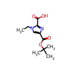 CCn1cc(C(=O)OC(C)(C)C)nc1C(=O)O